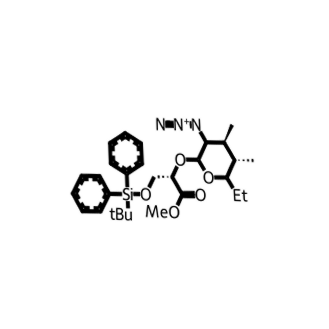 CCC1OC(O[C@@H](CO[Si](c2ccccc2)(c2ccccc2)C(C)(C)C)C(=O)OC)C(N=[N+]=[N-])[C@@H](C)[C@@H]1C